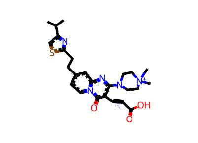 CC(C)c1csc(CCc2ccn3c(=O)c(/C=C/C(=O)O)c(N4CC[N+](C)(C)CC4)nc3c2)n1